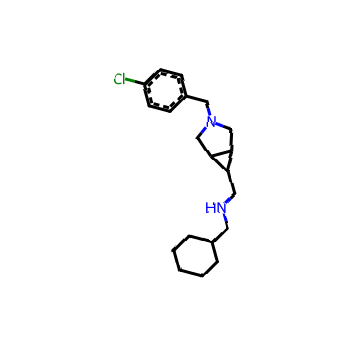 Clc1ccc(CN2CC3C(CNCC4CCCCC4)C3C2)cc1